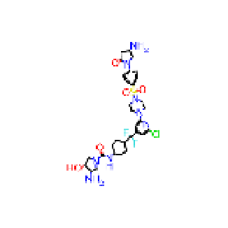 N[C@@H]1CC(=O)N(c2ccc(S(=O)(=O)N3CCN(c4cc(C(F)(F)C5CCC(NC(=O)N6C[C@@H](N)[C@@H](O)C6)CC5)cc(Cl)n4)CC3)cc2)C1